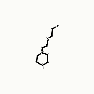 [O]CCOCCN1[CH]CNCC1